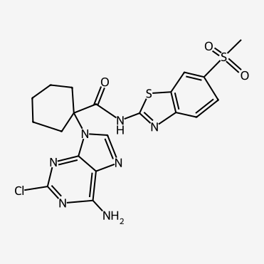 CS(=O)(=O)c1ccc2nc(NC(=O)C3(n4cnc5c(N)nc(Cl)nc54)CCCCC3)sc2c1